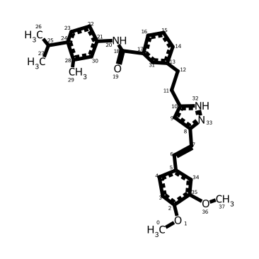 COc1ccc(C=Cc2cc(CCc3cccc(C(=O)Nc4ccc(C(C)C)c(C)c4)c3)[nH]n2)cc1OC